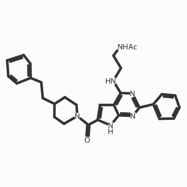 CC(=O)NCCNc1nc(-c2ccccc2)nc2[nH]c(C(=O)N3CCC(CCc4ccccc4)CC3)cc12